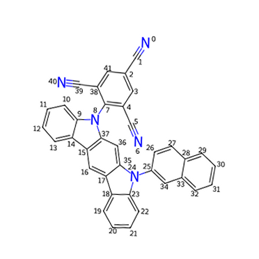 N#Cc1cc(C#N)c(-n2c3ccccc3c3cc4c5ccccc5n(-c5ccc6ccccc6c5)c4cc32)c(C#N)c1